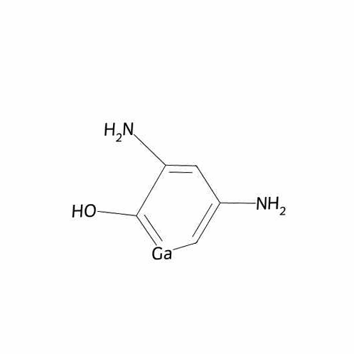 NC1=[CH][Ga]=[C](O)C(N)=C1